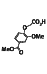 COC(=O)c1ccc(OCC(=O)O)c(OC)c1